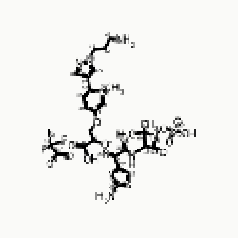 C[n+]1cc(OCC(ON=C(C(=O)NC2C(=O)N(OS(=O)(=O)O)C2(C)C)c2csc(N)n2)C(=O)O)ccc1-c1cnn(CCCN)c1.O=C([O-])C(F)(F)F